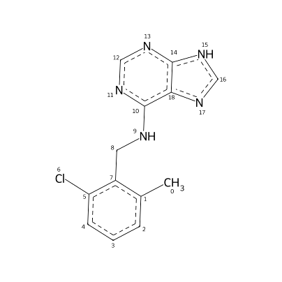 Cc1cccc(Cl)c1CNc1ncnc2[nH]cnc12